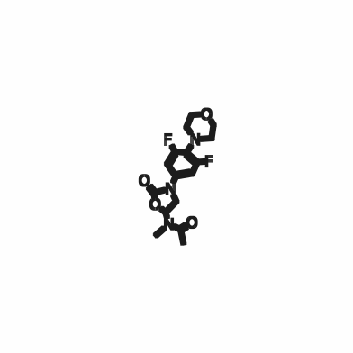 CC(=O)N(C)C1CN(c2cc(F)c(N3CCOCC3)c(F)c2)C(=O)O1